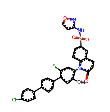 COc1cc(-c2ccc(-c3ccc(Cl)cc3)cc2)c(F)cc1-n1c(=O)ccc2cc(S(=O)(=O)Nc3ccon3)ccc21